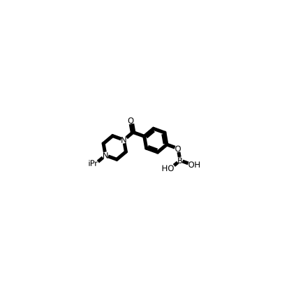 CC(C)N1CCN(C(=O)c2ccc(OB(O)O)cc2)CC1